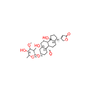 COC1C(C)[C@@H](O[C@H]2CC[C@]3(C=O)C4CC[C@]5(C)[C@@H](C6=CC(=O)OC6)CC[C@]5(O)C4CC[C@]3(O)C2)OC(C)[C@H]1O